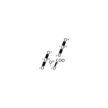 O=C([O-])[O-].[O-2].[O]=[U+2]=[O].[O]=[U+2]=[O]